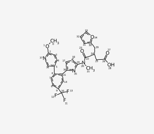 COc1ccc(-c2ccc(C(F)(F)F)cc2-c2csc(N(C)C(=O)C(CC(=O)O)Cc3ccco3)n2)cn1